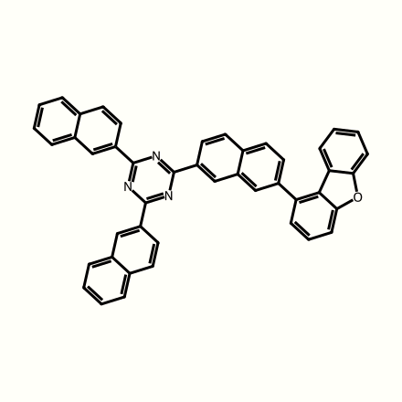 c1ccc2cc(-c3nc(-c4ccc5ccccc5c4)nc(-c4ccc5ccc(-c6cccc7oc8ccccc8c67)cc5c4)n3)ccc2c1